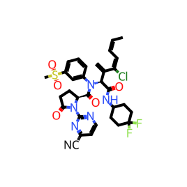 C=C(/C(Cl)=C\C=C/C)[C@@H](C(=O)NC1CCC(F)(F)CC1)N(C(=O)[C@@H]1CCC(=O)N1c1nccc(C#N)n1)c1cccc(S(C)(=O)=O)c1